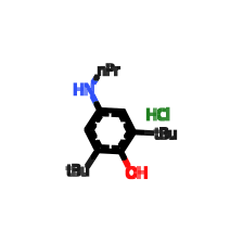 CCCNc1cc(C(C)(C)C)c(O)c(C(C)(C)C)c1.Cl